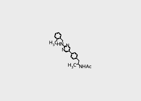 CC(=O)NC(C)Cc1ccc(-c2cnc(NCc3ccccc3C)nc2)cc1